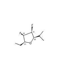 CC[C@@H]1O[C@H](C(C)C)[C@H](F)[C@@H]1F